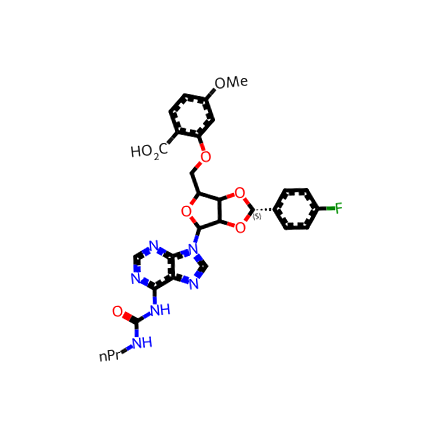 CCCNC(=O)Nc1ncnc2c1ncn2C1OC(COc2cc(OC)ccc2C(=O)O)C2O[C@H](c3ccc(F)cc3)OC21